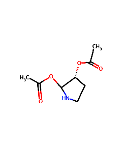 CC(=O)OC1NCC[C@H]1OC(C)=O